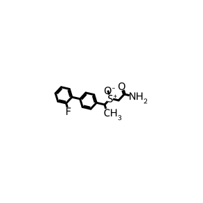 CC(c1ccc(-c2ccccc2F)cc1)[S+]([O-])CC(N)=O